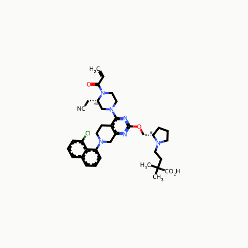 C=CC(=O)N1CCN(c2nc(OC[C@@H]3CCCN3CCC(C)(C)C(=O)O)nc3c2CCN(c2cccc4cccc(Cl)c24)C3)C[C@@H]1CC#N